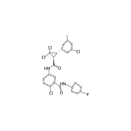 Cc1cc(Cl)cc([C@@H]2[C@@H](C(=O)Nc3ccc(Cl)c(C(=O)Nc4ccc(F)cc4)c3)C2(Cl)Cl)c1